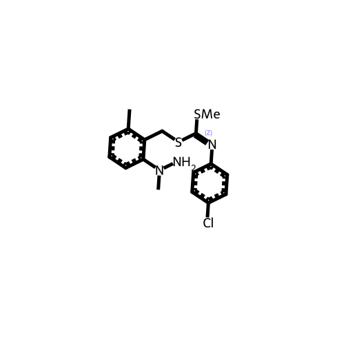 CS/C(=N/c1ccc(Cl)cc1)SCc1c(C)cccc1N(C)N